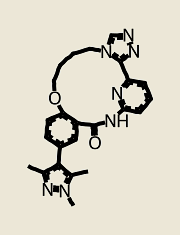 Cc1nn(C)c(C)c1-c1ccc2c(c1)C(=O)Nc1cccc(n1)-c1nncn1CCCCO2